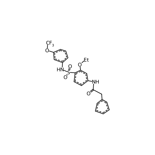 CCOc1cc(NC(=O)Cc2ccccc2)ccc1S(=O)(=O)Nc1cccc(OC(F)(F)F)c1